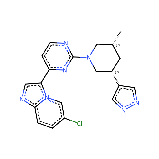 C[C@@H]1C[C@H](c2cn[nH]c2)CN(c2nccc(-c3cnc4ccc(Cl)cn34)n2)C1